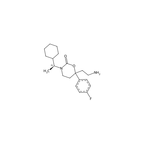 C[C@@H](C1CCCCC1)N1CCC(CCN)(c2ccc(F)cc2)OC1=O